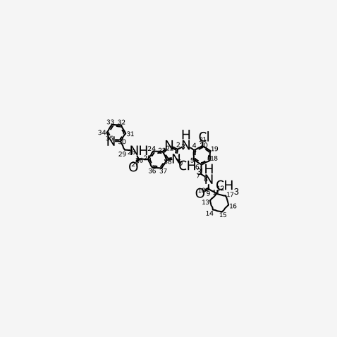 Cn1c(Nc2cc(CNC(=O)C3(C)CCCCC3)ccc2Cl)nc2cc(C(=O)NCc3ccccn3)ccc21